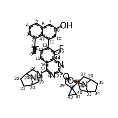 C#Cc1cccc2cc(O)cc(-c3c(F)cc4c(N5CC6CCC(C5)N6)nc(OCC5(CN6C7CCC6CC(=O)C7)CC5)nc4c3F)c12